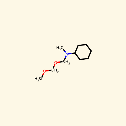 CN([SiH2]O[SiH2]O[SiH3])C1CCCCC1